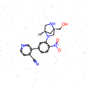 N#Cc1ccncc1-c1ccc([N+](=O)[O-])c(N2C[C@]3(CO)C[C@H]2CN3)c1